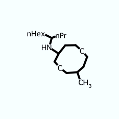 CCCCCCC(CCC)NC1CCCCCC(C)CCC1